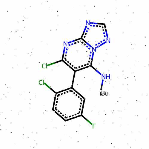 CCC(C)Nc1c(-c2cc(F)ccc2Cl)c(Cl)nc2ncnn12